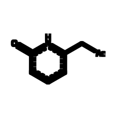 CC(=O)Cc1cccc(=O)[nH]1